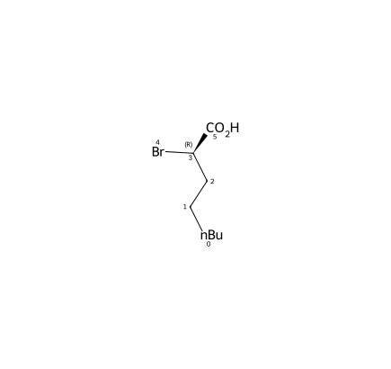 CCCCCC[C@@H](Br)C(=O)O